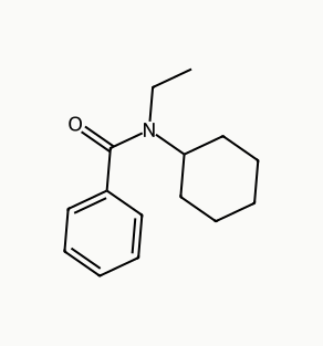 CCN(C(=O)c1ccccc1)C1CCCCC1